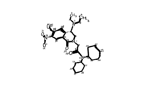 CCN(CC)CCN(CC(=O)N(C1CCCCC1)C1CCCCC1)C(=O)c1ccc(Cl)c([N+](=O)[O-])c1